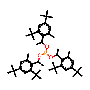 Cc1cc(C(C)(C)C)cc(C(C)(C)C)c1C(C)OP(OC(C)c1c(C)cc(C(C)(C)C)cc1C(C)(C)C)OC(C)c1c(C)cc(C(C)(C)C)cc1C(C)(C)C